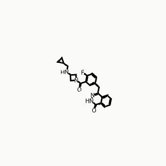 O=C(c1cc(Cc2n[nH]c(=O)c3ccccc23)ccc1F)N1CC(NCC2CC2)C1